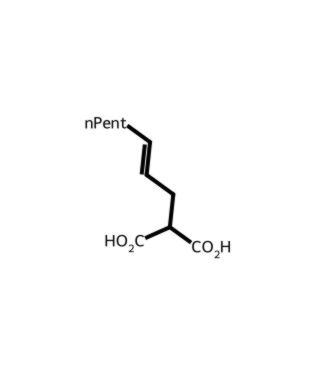 CCCCC/C=C/CC(C(=O)O)C(=O)O